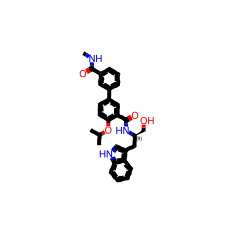 CNC(=O)c1cccc(-c2ccc(OC(C)C)c(C(=O)N[C@@H](CO)Cc3c[nH]c4ccccc34)c2)c1